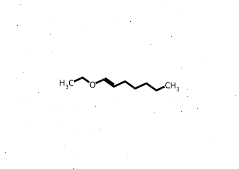 CCCCCC=COCC